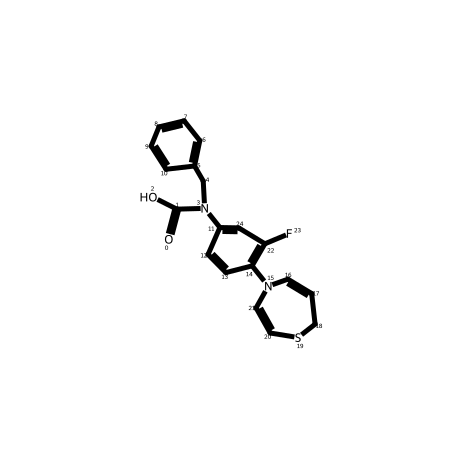 O=C(O)N(Cc1ccccc1)c1ccc(N2C=CCSC=C2)c(F)c1